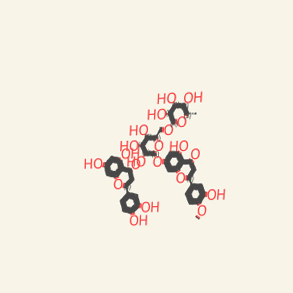 COc1ccc([C@@H]2CC(=O)c3c(O)cc(O[C@@H]4O[C@H](CO[C@@H]5O[C@@H](C)[C@H](O)[C@@H](O)[C@H]5O)[C@@H](O)[C@H](O)[C@H]4O)cc3O2)cc1O.O=C1C[C@@H](c2ccc(O)c(O)c2)Oc2cc(O)cc(O)c21